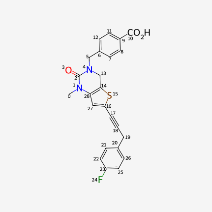 CN1C(=O)N(Cc2ccc(C(=O)O)cc2)Cc2sc(C#CCc3ccc(F)cc3)cc21